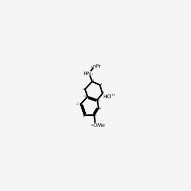 CCCNC1CCc2cc(OC)ccc2C1.Cl